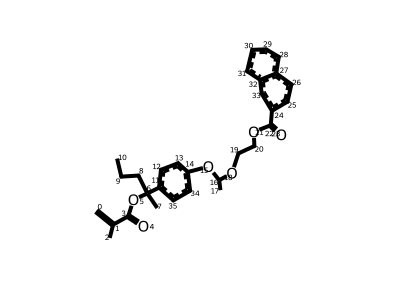 C=C(C)C(=O)OC(C)(CCC)c1ccc(OC(C)OCCOC(=O)c2ccc3ccccc3c2)cc1